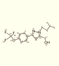 CC(C)CCn1nc(-c2ccc(OC(F)(F)F)cc2)cc1CO